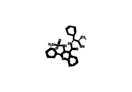 C[C@H](O)[C@H](NC(=O)c1c(NS(C)(=O)=O)c(-c2ccccc2)nc2ccccc12)C1C=CC=CC1